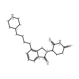 O=C1CCC(N2Cc3c(CCCCC4CCNCC4)cccc3C2=O)C(=O)N1